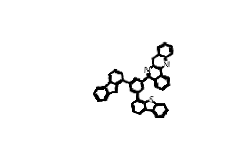 C1=CC2=Nc3c(nc(-c4cc(-c5cccc6c5Cc5ccccc5-6)cc(-c5cccc6c5sc5ccccc56)c4)c4ccccc34)CC2C=C1